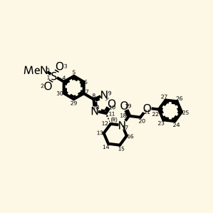 CNS(=O)(=O)c1ccc(-c2noc([C@H]3CCCCN3C(=O)COc3ccccc3)n2)cc1